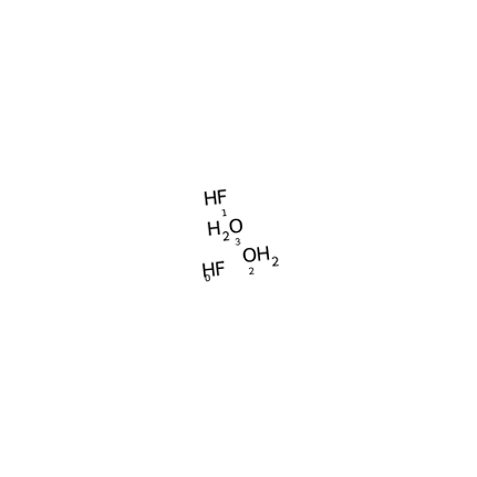 F.F.O.O